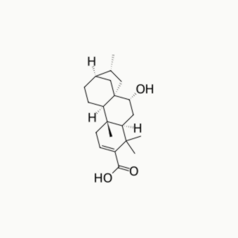 C[C@@H]1C[C@@]23C[C@H]1CC[C@@H]2[C@@]1(C)CC=C(C(=O)O)C(C)(C)[C@@H]1C[C@H]3O